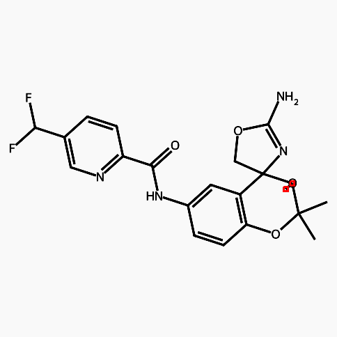 CC1(C)Oc2ccc(NC(=O)c3ccc(C(F)F)cn3)cc2C2(COC(N)=N2)C12COC2